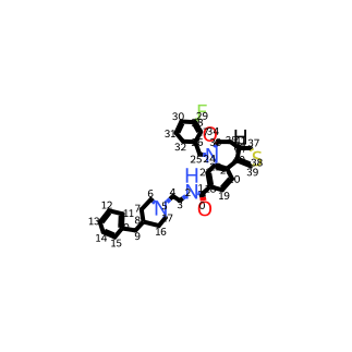 O=C(NCCN1CCC(Cc2ccccc2)CC1)c1ccc2c(c1)N(CC1C=C(F)C=CC1)C(=O)C[C@@H]1CSC=C21